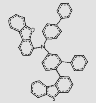 c1ccc(-c2ccc(N(c3ccc(-c4cccc5sc6ccccc6c45)c(-c4ccccc4)c3)c3cccc4c3oc3ccccc34)cc2)cc1